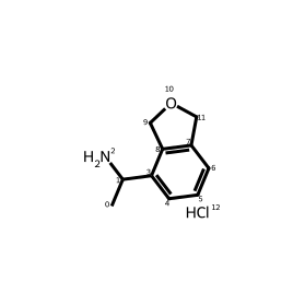 CC(N)c1cccc2c1COC2.Cl